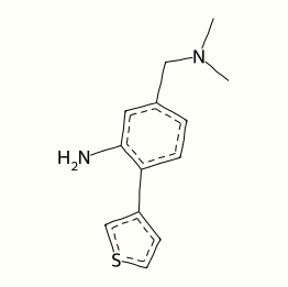 CN(C)Cc1ccc(-c2ccsc2)c(N)c1